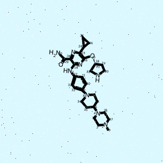 CN1CCN(C2CCN(c3ccc(Nc4nc(O[C@@H]5CCNC5)c(C5CC5)nc4C(N)=O)cc3)CC2)CC1